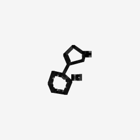 C1=C(c2ccccc2)CNC1.Cl